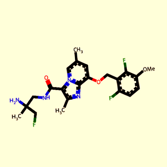 COc1ccc(F)c(COc2cc(C)cn3c(C(=O)NCC(C)(N)CF)c(C)nc23)c1F